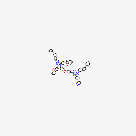 c1ccc(-c2ccc3cc(-c4nc(-c5ccc(-c6cccnc6)cc5)nc(-c5ccc(-c6cc7ccc(-c8cc9c(cc8-c8nc(-c%10ccc(-c%11cc%12ccccc%12o%11)cc%10)nc(-c%10ccc%11cc(-c%12ccccc%12)ccc%11c%10)n8)oc8ccccc89)cc7o6)cc5)n4)ccc3c2)cc1